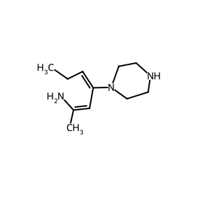 CC/C=C(\C=C(\C)N)N1CCNCC1